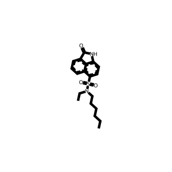 CCCCCCN(CC)S(=O)(=O)c1ccc2c3c(cccc13)C(=O)N2